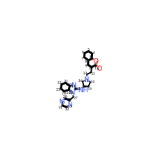 O=c1oc2ccccc2cc1CCN1CCC(Nc2nc3ccccc3n2Cc2cnccn2)C1